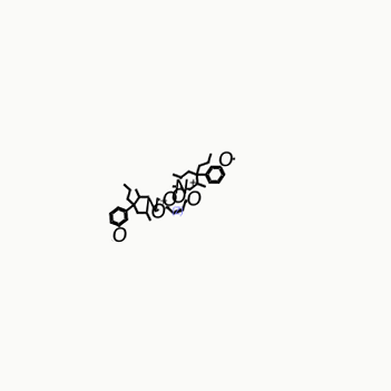 CCCC1(c2cccc(OC)c2)CC(C)[N+](C)(OC(=O)/C=C\C(=O)O[N+]2(C)CC(C)C(CCC)(c3cccc(OC)c3)CC2C)CC1C